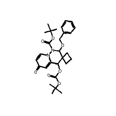 CC(C)(C)OC(=O)OC1c2cc(=O)ccn2N(C(=O)OC(C)(C)C)C(OCc2ccccc2)C12CCC2